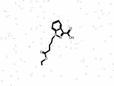 CCOC(=O)CCCCn1nc(C(=O)O)c2ccccc21